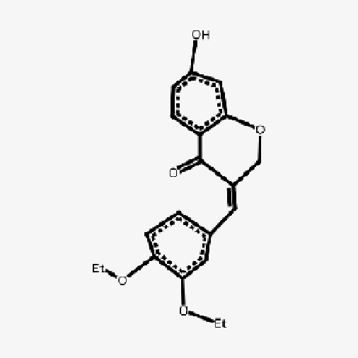 CCOc1ccc(C=C2COc3cc(O)ccc3C2=O)cc1OCC